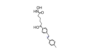 Cc1ccc(/C=C/c2ccc([C@H](O)CCCCC(=O)NO)cc2)cc1